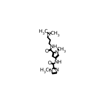 CN(C)CCCNC(=O)c1cc(NC(=O)c2nccn2C)cn1C